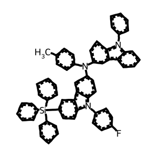 Cc1ccc(N(c2ccc3c(c2)c2ccccc2n3-c2ccccc2)c2ccc3c(c2)c2cc([Si](c4ccccc4)(c4ccccc4)c4ccccc4)ccc2n3-c2ccc(F)cc2)cc1